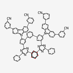 [C-]#[N+]c1cccc(-c2ccc3c(c2)c2cc(-c4cccc(C#N)c4)ccc2n3-c2cc(-c3cccc(-c4cc(-c5nc(-c6ccccc6)nc(-c6ccccc6)n5)ccc4-n4c5ccc(-c6cccc(C#N)c6)cc5c5cc(-c6cccc([N+]#[C-])c6)ccc54)c3)cc(-c3nc(-c4ccccc4)nc(-c4ccccc4)n3)c2)c1